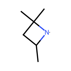 CC1CC(C)(C)[N]1